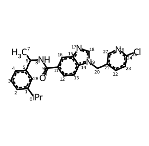 CC(C)c1cccc(C(C)NC(=O)c2ccc3c(c2)ncn3Cc2ccc(Cl)nc2)c1